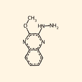 COc1nc2ccccc2nc1NN